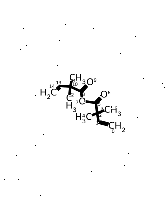 C=CC(C)(C)C(=O)OC(=O)C(C)(C)C=C